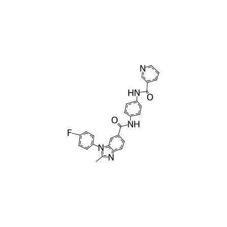 Cc1nc2ccc(C(=O)Nc3ccc(NC(=O)c4cccnc4)cc3)cc2n1-c1ccc(F)cc1